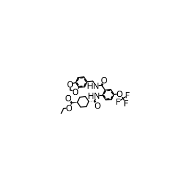 CCOC(=O)[C@H]1CC[C@H](C(=O)Nc2ccc(OC(F)(F)F)cc2C(=O)NCc2ccc3c(c2)OCO3)CC1